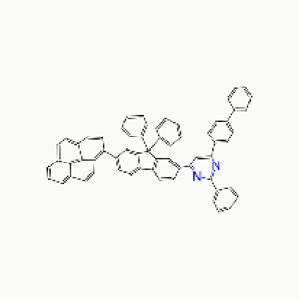 c1ccc(-c2ccc(-c3cc(-c4ccc5c(c4)C(c4ccccc4)(c4ccccc4)c4cc(-c6ccc7ccc8cccc9ccc6c7c89)ccc4-5)nc(-c4ccccc4)n3)cc2)cc1